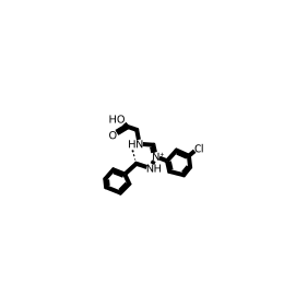 C[C@H](N[N+](=CNCC(=O)O)c1cccc(Cl)c1)c1ccccc1